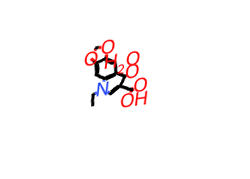 CCn1cc(C(=O)O)c(=O)c2cc3c(cc21)OCO3.O